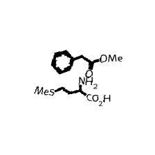 COC(=O)Cc1ccccc1.CSCCC(N)C(=O)O